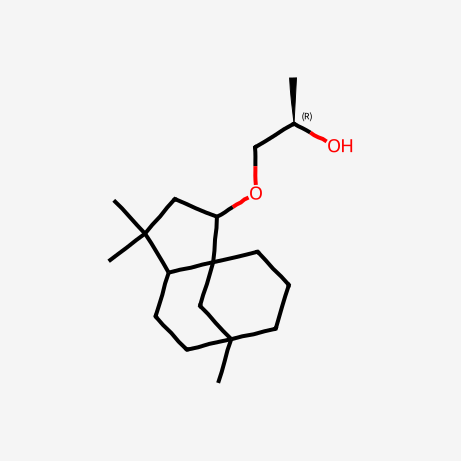 C[C@@H](O)COC1CC(C)(C)C2CCC3(C)CCCC12C3